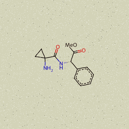 COC(=O)[C@@H](NC(=O)C1(N)CC1)c1ccccc1